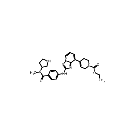 CCOC(=O)N1CC=C(c2cccn3nc(Nc4ccc(C(=O)N(C)C5CCNC5)cc4)nc23)CC1